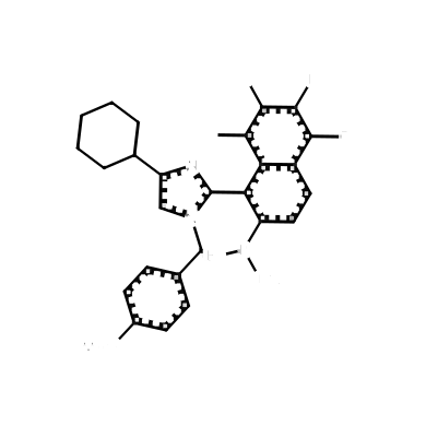 COc1ccc(Cn2cc(C3CCCCC3)nc2-c2c(P(C(C)(C)C)C(C)(C)C)ccc3c(F)c(F)c(F)c(F)c23)cc1